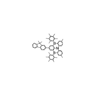 Cc1ccc2c(c1)B(c1c(C)c(C)c(C)c(C)c1C)c1cc(-c3ccc4c(c3)C(C)(C)c3ccccc3-4)cc3c1N2c1ccc(C)cc1B3c1c(C)c(C)c(C)c(C)c1C